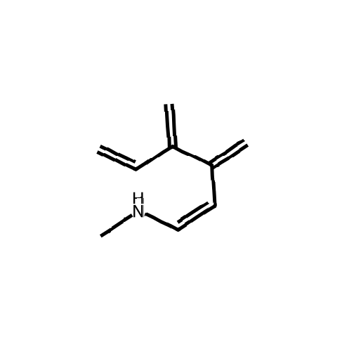 C=CC(=C)C(=C)/C=C\NC